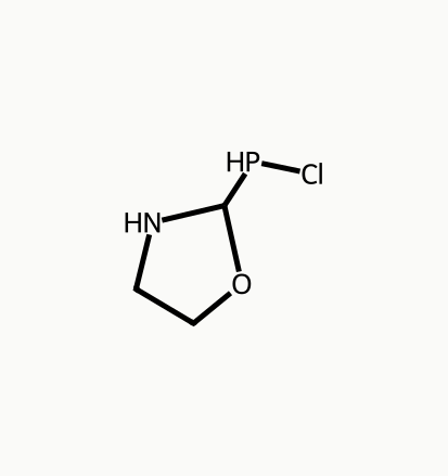 ClPC1NCCO1